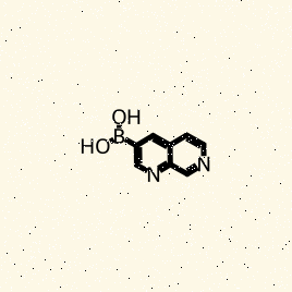 OB(O)c1cnc2cnccc2c1